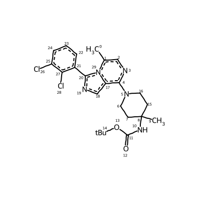 Cc1cnc(N2CCC(C)(NC(=O)OC(C)(C)C)CC2)c2cnc(-c3cccc(Cl)c3Cl)n12